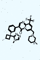 C[C@H]1CCCN(Cc2cc(C(F)(F)F)c3ncc(-c4cccc([C@]5(c6nncn6C)C[C@@H](C)C5)c4)c(=O)n3c2)C1